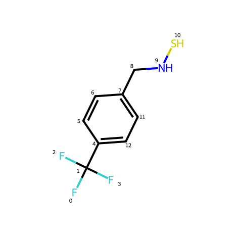 FC(F)(F)c1ccc(CNS)cc1